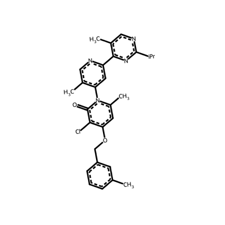 Cc1cccc(COc2cc(C)n(-c3cc(-c4nc(C(C)C)ncc4C)ncc3C)c(=O)c2Cl)c1